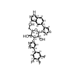 OC[C@H]1O[C@@H](n2nncc2-c2ccc3[nH]ncc3c2)[C@H](O)[C@@H](n2cc(-c3cc(F)c(F)c(F)c3)nn2)[C@H]1O